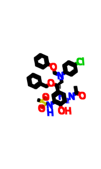 CC(N)=O.CS(=O)(=O)Nc1cc([C@H](CN(COc2ccccc2)c2ccc(Cl)cc2)OCc2ccccc2)ccc1O